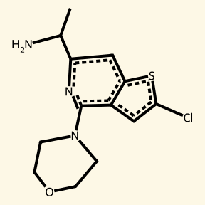 CC(N)c1cc2sc(Cl)cc2c(N2CCOCC2)n1